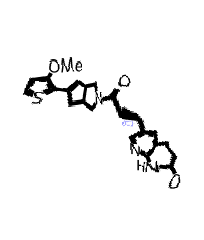 COc1ccsc1C1=CC2CN(C(=O)/C=C/c3cnc4c(c3)CCC(=O)N4)CC2C1